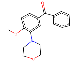 COc1ccc(C(=O)c2ccccc2)cc1N1CCOCC1